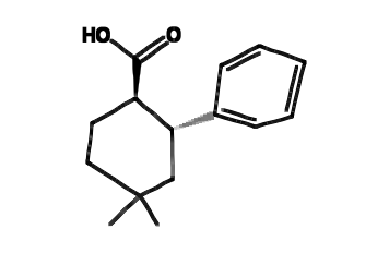 CC1(C)CC[C@@H](C(=O)O)[C@H](c2ccccc2)C1